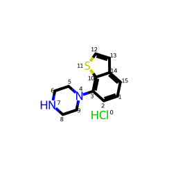 Cl.c1cc(N2CCNCC2)c2sccc2c1